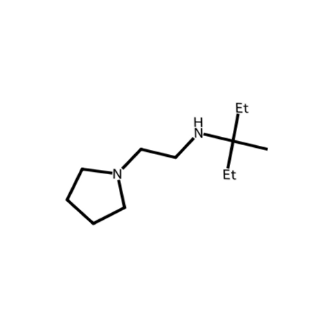 CCC(C)(CC)NCCN1CCCC1